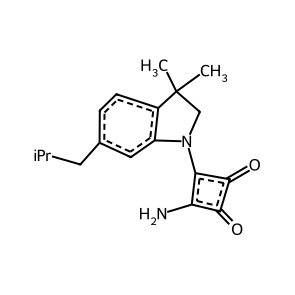 CC(C)Cc1ccc2c(c1)N(c1c(N)c(=O)c1=O)CC2(C)C